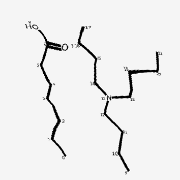 CCCCCCC(=O)O.CCCCN(CCCC)CCCC